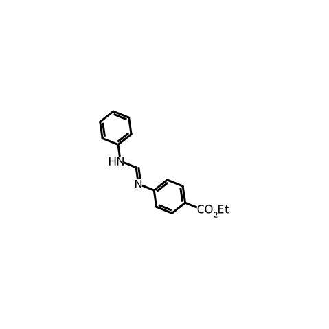 CCOC(=O)c1ccc(N=CNc2ccccc2)cc1